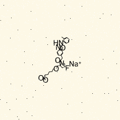 Cc1ccccc1Nc1nc2ccc(CC(=O)N3C[C@@H](F)C[C@H]3COCCCCCC(=O)[O-])cc2o1.[Na+]